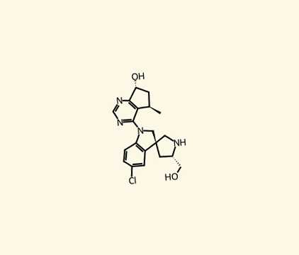 C[C@@H]1C[C@@H](O)c2ncnc(N3C[C@]4(CN[C@H](CO)C4)c4cc(Cl)ccc43)c21